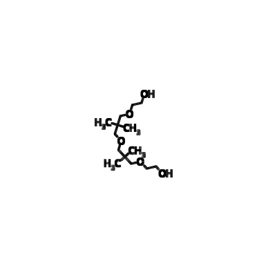 CC(C)(COCCO)COCC(C)(C)COCCO